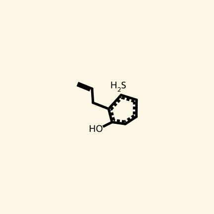 C=CCc1ccccc1O.S